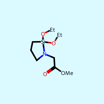 CCO[Si]1(OCC)CCCN1CC(=O)OC